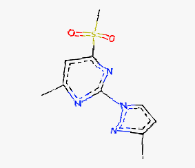 Cc1cc(S(C)(=O)=O)nc(-n2ccc(C)n2)n1